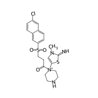 Cn1cc([N+]2(C(=O)CCS(=O)(=O)c3ccc4cc(Cl)ccc4c3)CCNCC2)sc1=N